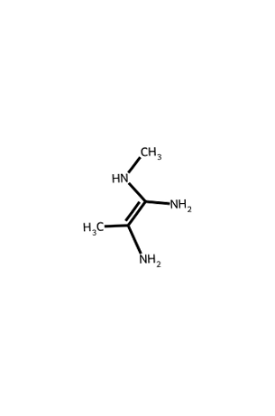 CN/C(N)=C(\C)N